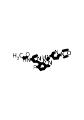 C=CC(=O)Nc1ccnc(-c2c(F)ccc3cnc(Nc4ccc(N5CCOCC5)nc4)nc23)c1